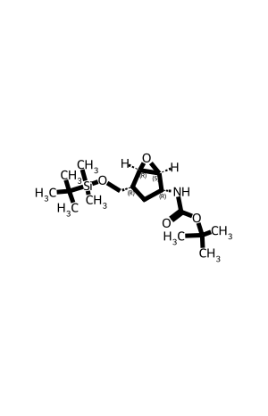 CC(C)(C)OC(=O)N[C@@H]1C[C@H](CO[Si](C)(C)C(C)(C)C)[C@H]2O[C@H]21